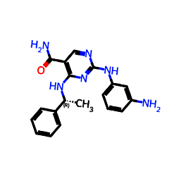 C[C@@H](Nc1nc(Nc2cccc(N)c2)ncc1C(N)=O)c1ccccc1